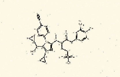 C#Cc1ccc(-n2c([C@@H](C)N(CCS(=O)(=O)CC)C(=O)Cc3ccc(F)c(C(F)(F)F)c3)nc(C3CC3)c2C(O)C2CC2)cc1